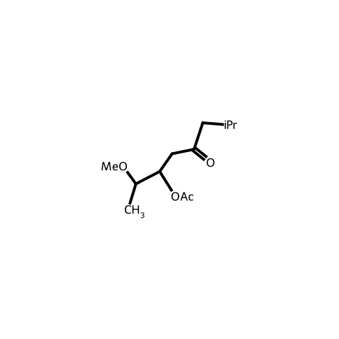 COC(C)C(CC(=O)CC(C)C)OC(C)=O